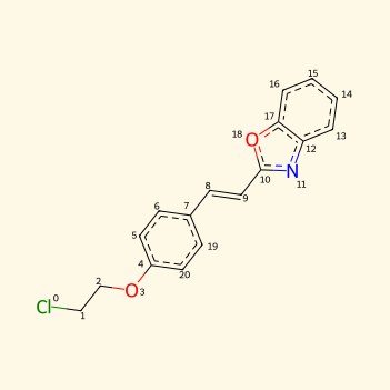 ClCCOc1ccc(C=Cc2nc3ccccc3o2)cc1